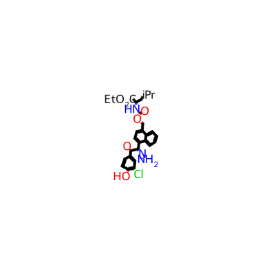 CCOC(=O)C(CC(C)C)NC(=O)OCc1ccc(C(=NN)C(=O)c2ccc(O)c(Cl)c2)c2ccccc12